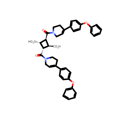 O=C(O)[C@H]1[C@H](C(=O)N2CC=C(c3ccc(Oc4ccccc4)cc3)CC2)[C@H](C(=O)O)[C@H]1C(=O)N1CC=C(c2ccc(Oc3ccccc3)cc2)CC1